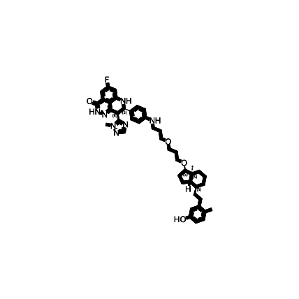 Cc1ccc(O)cc1CC[C@@H]1CCC[C@]2(C)[C@@H](OCCCOCCCNc3ccc([C@H]4Nc5cc(F)cc6c(=O)[nH]nc(c56)[C@@H]4c4ncnn4C)cc3)CC[C@@H]12